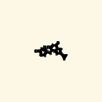 Cc1cc(=O)n2nc(C3CC3)cc2n1Cc1ccc(Cl)nc1